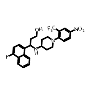 O=[N+]([O-])c1ccc(N2CCC(NC(CCO)c3ccc(F)c4ccccc34)CC2)c(C(F)(F)F)c1